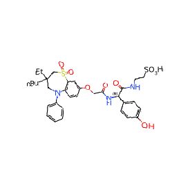 CCCCC1(CC)CN(c2ccccc2)c2ccc(OCC(=O)N[C@@H](C(=O)NCCS(=O)(=O)O)c3ccc(O)cc3)cc2S(=O)(=O)C1